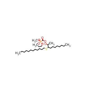 CCCCCCCCCCCCSC(CCCCCCCC)C(C)OOC(=O)P(=O)(OC)OCCC